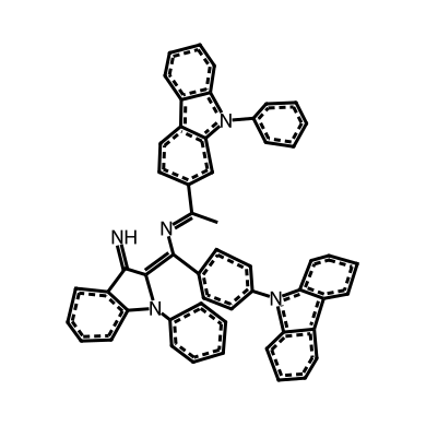 C/C(=N\C(=C1/C(=N)c2ccccc2N1c1ccccc1)c1ccc(-n2c3ccccc3c3ccccc32)cc1)c1ccc2c3ccccc3n(-c3ccccc3)c2c1